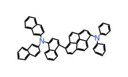 c1ccc(N(c2ccccc2)c2ccc3ccc4c(-c5ccc(N(c6ccc7ccccc7c6)c6ccc7ccccc7c6)c6ccccc56)ccc5ccc2c3c54)cc1